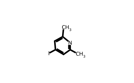 Cc1cc(I)cc(C)n1